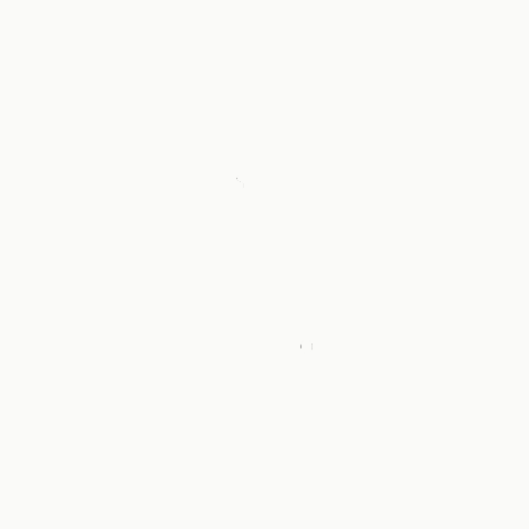 O=C1CCCSCCC1